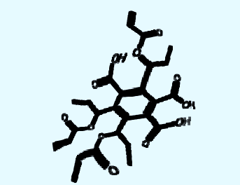 C=CC(=O)OC(CC)c1c(C(=O)O)c(C(=O)O)c(C(CC)OC(=O)C=C)c(C(CC)OC(=O)C=C)c1C(=O)O